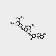 CCc1cccc(C(C)(C)c2ccc(OC(C)CN(CC(C)O)c3ccc(Oc4ccc(N(CC(C)O)CC(C)O)cc4)cc3)c(CC)c2)c1